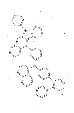 c1ccc(-c2ccccc2-c2ccc(N(c3cccc(-c4c5ccccc5cc5c4c4ccccc4n5-c4ccccc4)c3)c3cccc4ccccc34)cc2)cc1